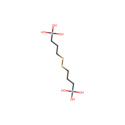 O[Si](O)(O)CCCSSCCC[Si](O)(O)O